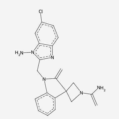 C=C(N)N1CC2(C1)C(=C)N(Cc1nc3ccc(Cl)cc3n1N)c1ccccc12